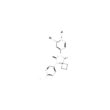 [C-]#[N+]c1ccc(N2C(=O)C3(CCC3)N(c3ccc(C)cc3)C2=S)cc1[N+]#[C-]